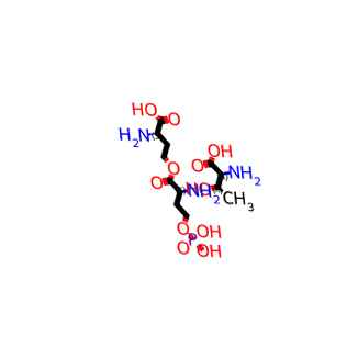 C[C@@H](O)[C@H](N)C(=O)O.N[C@@H](CCOC(=O)[C@@H](N)CCOP(=O)(O)O)C(=O)O